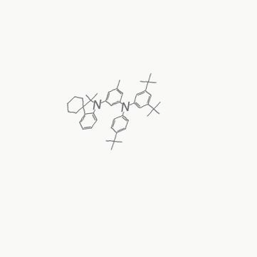 Cc1cc(N(c2ccc(C(C)(C)C)cc2)c2cc(C(C)(C)C)cc(C(C)(C)C)c2)cc(N2c3ccccc3C3(CCCCC3)C2(C)C)c1